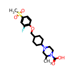 CC1CN(C2CCC(COc3ccc(S(C)(=O)=O)cc3F)CC2)CCN1C(=O)O